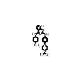 CCC(=O)N1CCN(c2ccc(Nc3nc(NC4CCC(N)CC4)c4cc[nH]c4n3)cc2)CC1